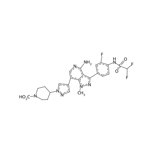 Cn1nc(-c2ccc(NS(=O)(=O)C(F)F)c(F)c2)c2c(N)ncc(-c3cnn(C4CCN(C(=O)O)CC4)c3)c21